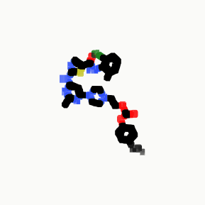 Cc1nc(Nc2ncc(C(=O)Nc3c(C)cccc3Cl)s2)cc(N2CCN(CCOC(=O)Oc3ccc([N+](=O)[O-])cc3)CC2)n1